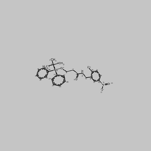 CC(C)(C)[Si](OCCC(=O)NCc1cc([N+](=O)[O-])ccc1F)(c1ccccc1)c1ccccc1